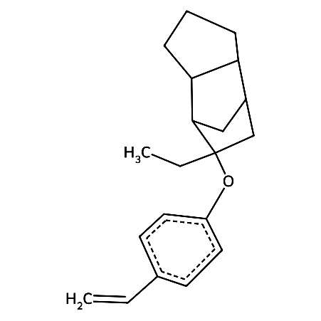 C=Cc1ccc(OC2(CC)CC3CC2C2CCCC32)cc1